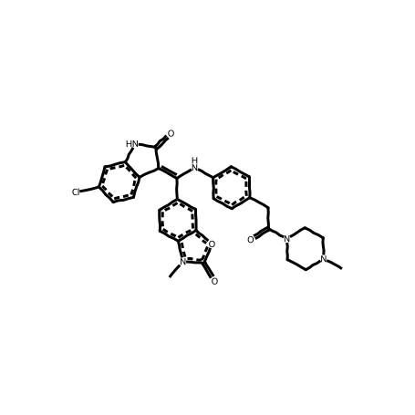 CN1CCN(C(=O)Cc2ccc(N/C(=C3\C(=O)Nc4cc(Cl)ccc43)c3ccc4c(c3)oc(=O)n4C)cc2)CC1